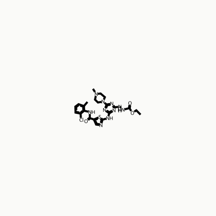 CCOC(=O)NNc1nc(Nc2ncc(C(=O)Nc3c(C)cccc3Cl)s2)nc(N2CCN(C)CC2)n1